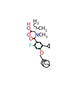 CC(C)[C@@H](C(=O)O)N(C)C(=O)c1cc(C2CC2)c(OCC23CC4CC(CC2C4)C3)cc1F